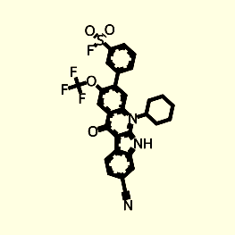 N#Cc1ccc2c(c1)[nH]c1c2c(=O)c2cc(OC(F)(F)F)c(-c3cccc(S(=O)(=O)F)c3)cc2n1C1CCCCC1